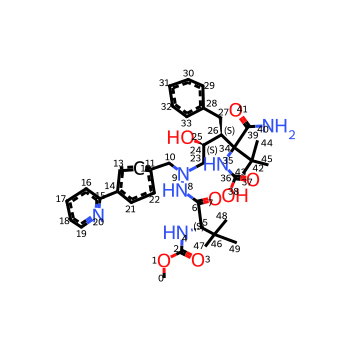 COC(=O)N[C@H](C(=O)NN(Cc1ccc(-c2ccccn2)cc1)C[C@@H](O)[C@@H](Cc1ccccc1)C(NC(=O)O)(C(N)=O)C(C)(C)C)C(C)(C)C